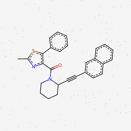 Cc1nc(C(=O)N2CCCCC2C#Cc2ccc3ccccc3c2)c(-c2ccccc2)s1